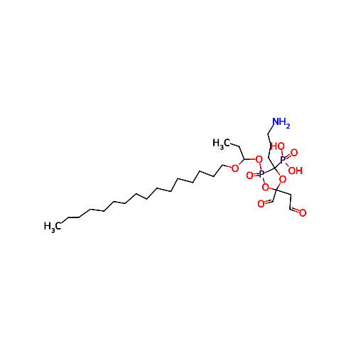 CCCCCCCCCCCCCCCCOC(CC)OP1(=O)OC(C=O)(CC=O)OC1(CCCN)P(=O)(O)O